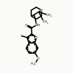 COc1ccc2c(I)c(C(=O)NC3C4CCN(CC4)C3(C)C)sc2c1